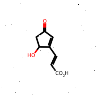 O=C(O)/C=C/C1=CC(=O)CC1O